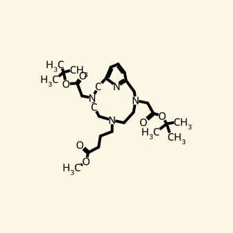 COC(=O)CCCN1CCN(CC(=O)OC(C)(C)C)Cc2cccc(n2)CN(CC(=O)OC(C)(C)C)CC1